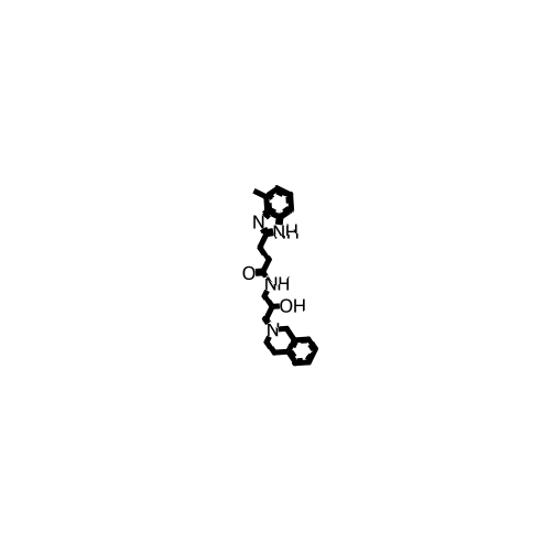 Cc1cccc2[nH]c(CCC(=O)NCC(O)CN3CCc4ccccc4C3)nc12